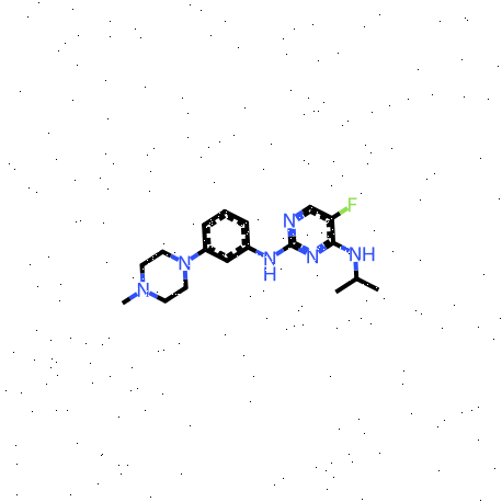 CC(C)Nc1nc(Nc2cccc(N3CCN(C)CC3)c2)ncc1F